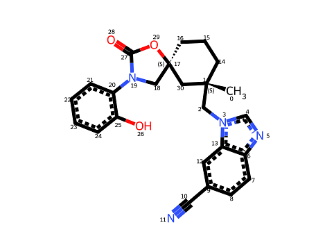 C[C@]1(Cn2cnc3ccc(C#N)cc32)CCC[C@@]2(CN(c3ccccc3O)C(=O)O2)C1